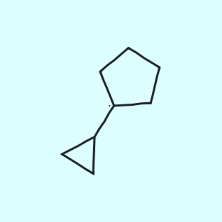 C1CC[C](C2CC2)C1